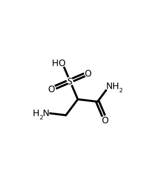 NCC(C(N)=O)S(=O)(=O)O